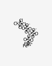 O=S(=O)([O-])[O-].O=S(=O)([O-])[O-].O=S(=O)([O-])[O-].[Cl][Zr]([Cl])([Cl])[Cl].[Fe+3].[Fe+3]